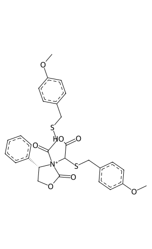 COc1ccc(CSCC(=O)[N+]2(C(SCc3ccc(OC)cc3)C(=O)O)C(=O)OC[C@@H]2c2ccccc2)cc1